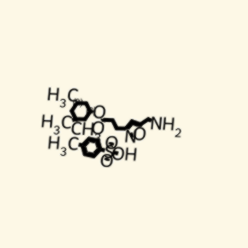 C[C@H]1C[C@@H](OC(=O)CCc2cc(CN)on2)CC(C)(C)C1.Cc1ccc(S(=O)(=O)O)cc1